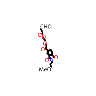 COCCCN1C(=O)c2ccc(C(=O)COCCOC(=O)CCC=O)cc2C1=O